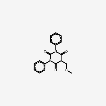 COCC1C(=O)N(c2ccccc2)C(=O)N(c2ccccc2)C1=O